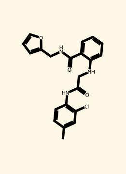 Cc1ccc(NC(=O)CNc2ccccc2C(=O)NCc2ccco2)c(Cl)c1